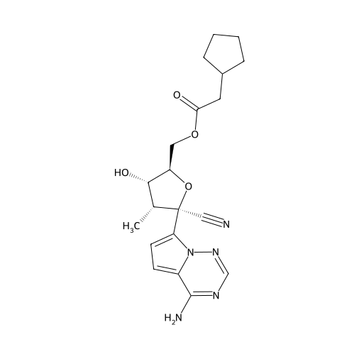 C[C@@H]1[C@H](O)[C@@H](COC(=O)CC2CCCC2)O[C@@]1(C#N)c1ccc2c(N)ncnn12